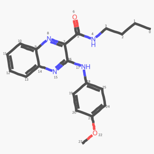 CCCCNC(=O)c1nc2ccccc2nc1Nc1ccc(OC)cc1